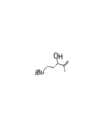 C=C(C)C(O)CCC(C)CC